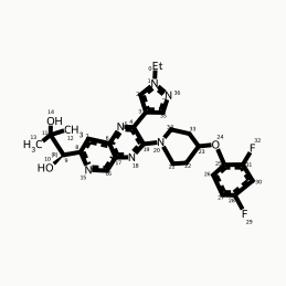 CCn1cc(-c2nc3cc([C@@H](O)C(C)(C)O)ncc3nc2N2CCC(Oc3ccc(F)cc3F)CC2)cn1